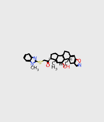 Cn1c(SCC(=O)[C@H]2CCC3C4CCC5=Cc6oncc6C[C@]5(C)C4[C@@H](O)C[C@@]32C)nc2ccccc21